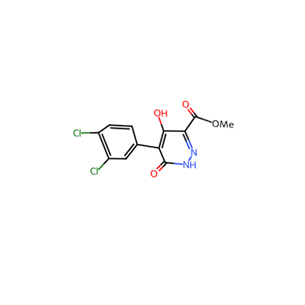 COC(=O)c1n[nH]c(=O)c(-c2ccc(Cl)c(Cl)c2)c1O